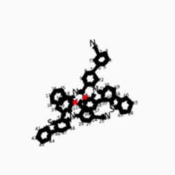 N#Cc1cccc(-c2ccc(-c3nc(-c4ccccc4)nc(-c4cc(C#N)ccc4-n4c5ccccc5c5c6sc7ccccc7c6ccc54)n3)c(-n3c4ccccc4c4c5sc6ccccc6c5ccc43)c2)c1